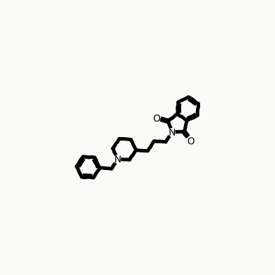 O=C1c2ccccc2C(=O)N1CCCC1CCCN(Cc2ccccc2)C1